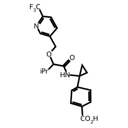 CC(C)C(OCc1ccc(C(F)(F)F)nc1)C(=O)NC1(c2ccc(C(=O)O)cc2)CC1